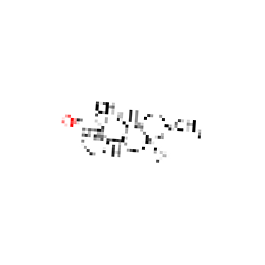 CC[C@]12CCC3[C@@H](CC[C@]4(C5CC5)C[C@@H](C)CC[C@H]34)C1CCC[C@@H]2C=O